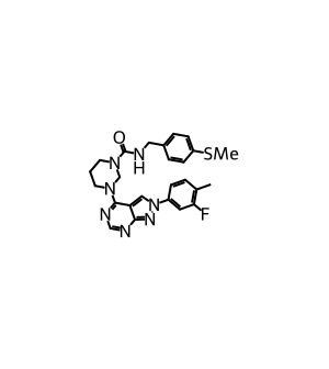 CSc1ccc(CNC(=O)N2CCCN(c3ncnc4nn(-c5ccc(C)c(F)c5)cc34)C2)cc1